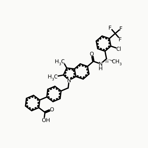 Cc1c(C)n(Cc2ccc(-c3ccccc3C(=O)O)cc2)c2ccc(C(=O)N[C@@H](C)c3cccc(C(F)(F)F)c3Cl)cc12